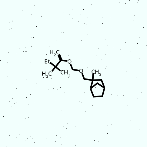 C=C(OCOCC1(C)CC2CCC1C2)C(C)(C)CC